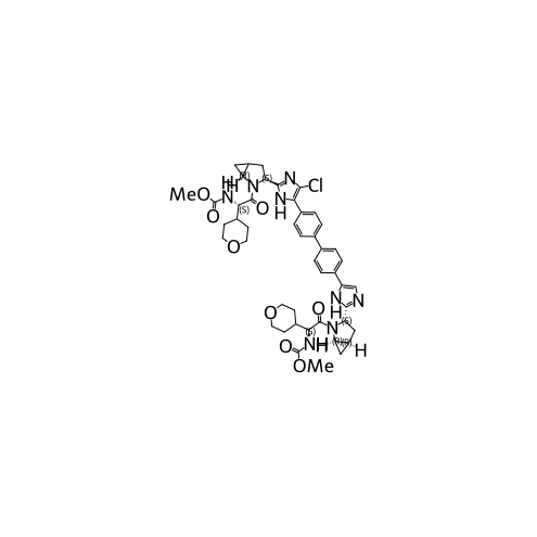 COC(=O)N[C@H](C(=O)N1[C@@H]2CC2C[C@H]1c1nc(Cl)c(-c2ccc(-c3ccc(-c4cnc([C@@H]5C[C@H]6C[C@H]6N5C(=O)[C@@H](NC(=O)OC)C5CCOCC5)[nH]4)cc3)cc2)[nH]1)C1CCOCC1